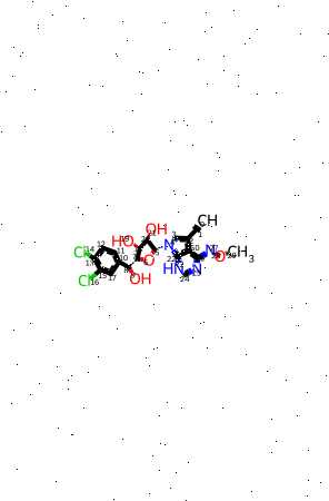 C#Cc1cn([C@@H]2O[C@H](C(O)c3ccc(Cl)c(Cl)c3)[C@@H](O)[C@H]2O)c2[nH]cn/c(=N\OC)c12